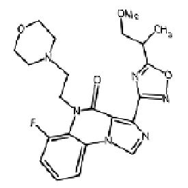 COCC(C)c1nc(-c2ncn3c2c(=O)n(CCN2CCOCC2)c2c(F)cccc23)no1